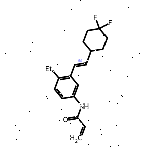 C=CC(=O)Nc1ccc(CC)c(/C=C/C2CCC(F)(F)CC2)c1